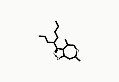 CCCCC(CCC)C1=NOC2CC(C)OCC(C)C12